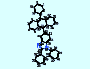 C1=CCC(C2=c3ccccc3=C(c3ccc4c(c3)nc3c5ccccc5c5ccccc5n43)C3CC=CC=C23)C=C1